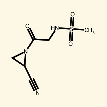 CS(=O)(=O)NCC(=O)N1CC1C#N